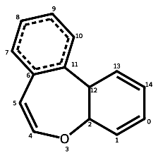 C1=CC2OC=Cc3ccccc3C2C=C1